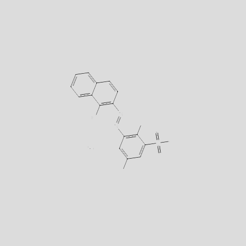 O=S(=O)([O-])c1cc(Cl)cc(N=Nc2ccc3ccccc3c2O)c1O.[Na+]